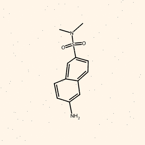 CN(C)S(=O)(=O)c1ccc2cc(N)ccc2c1